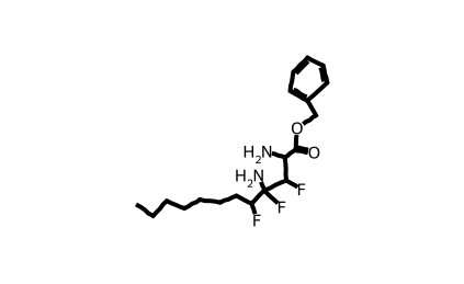 CCCCCCCC(F)C(N)(F)C(F)C(N)C(=O)OCc1ccccc1